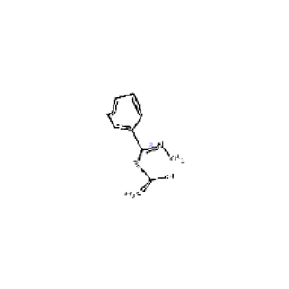 C=C(O)S/C(=N\C)c1ccccc1